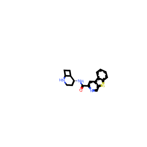 O=C(N[C@@H]1CCNC2CCC21)c1cc2c(cn1)sc1ccccc12